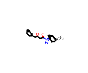 O=C(CC(=O)Nc1ccc(C(F)(F)F)cc1)Cc1ccccc1